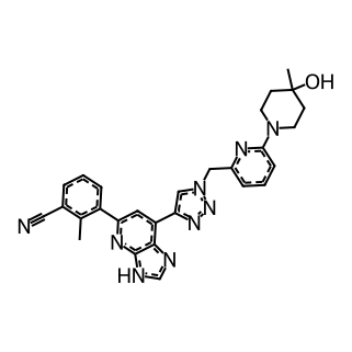 Cc1c(C#N)cccc1-c1cc(-c2cn(Cc3cccc(N4CCC(C)(O)CC4)n3)nn2)c2nc[nH]c2n1